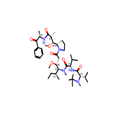 CC[C@H](C)[C@@H]([C@@H](CC(=O)N1CCC[C@H]1[C@H](OC)[C@@H](C)C(=O)N[C@H](C)C(=O)c1ccccc1)OC)N(C)C(=O)[C@@H](NC(=O)[C@H](C(C)C)N(C)C(C)(C)C)C(C)C